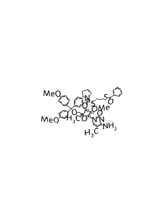 COc1ccc(C(OC[C@@]2(C)O[C@H](n3cc(C)c(N)nc3=O)[C@@H](OC)[C@H]2OP(SCCSC(=O)c2ccccc2)N2CCCC2)(c2ccccc2)c2ccc(OC)cc2)cc1